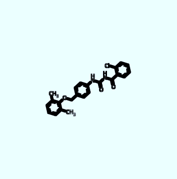 Cc1cccc(C)c1OCc1ccc(NC(=O)NC(=O)c2ccccc2Cl)cc1